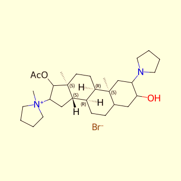 CC(=O)OC1C([N+]2(C)CCCC2)C[C@H]2[C@@H]3CCC4CC(O)C(N5CCCC5)C[C@]4(C)[C@@H]3CC[C@]12C.[Br-]